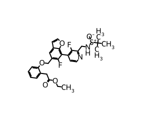 CCOC(=O)Cc1ccccc1OCc1cc2ccoc2c(-c2ccnc(CN[S+]([O-])C(C)(C)C)c2F)c1F